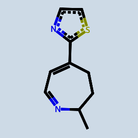 CC1CCC(c2nccs2)=CC=N1